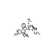 COc1cc(Cl)ncc1NC(=O)C1(c2ccccc2C(C)C)CN(c2cc(C)ncn2)C1